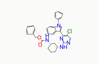 O=C(N[C@H]1CCC[C@@H](Nc2ncc(Cl)c(-c3cn(-c4ccccc4)c4ccccc34)n2)C1)OCc1ccccc1